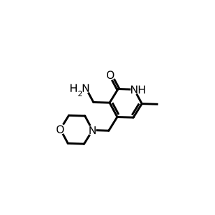 Cc1cc(CN2CCOCC2)c(CN)c(=O)[nH]1